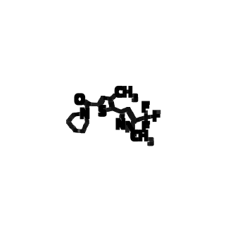 Cc1cc(C(=O)N2CCCCC2)sc1-c1cc(C(F)(F)F)n(C)n1